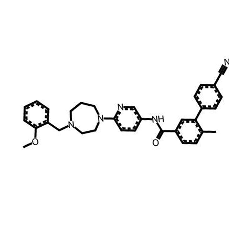 COc1ccccc1CN1CCCN(c2ccc(NC(=O)c3ccc(C)c(-c4ccc(C#N)cc4)c3)cn2)CC1